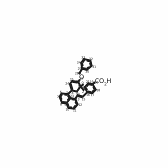 CC1(C)CC(c2cccc3cccc(/C=C/c4ccc(C(=O)O)cc4)c23)=CC=C1OCc1ccccc1